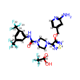 Nc1cc(COc2nsnc2N2CCN(C(=O)Nc3cc(C(F)(F)F)cc(C(F)(F)F)c3)CC2)ccn1.O=C(O)C(F)(F)F